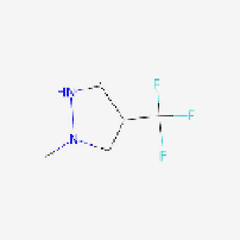 CN1CC(C(F)(F)F)[CH]N1